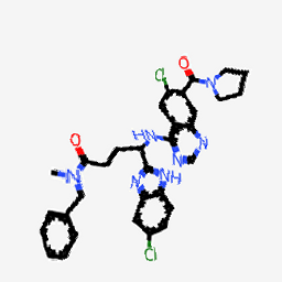 CN(Cc1ccccc1)C(=O)CCC(Nc1ncnc2cc(C(=O)N3CCCC3)c(Cl)cc12)c1nc2cc(Cl)ccc2[nH]1